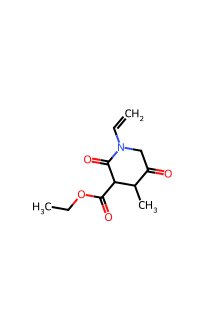 C=CN1CC(=O)C(C)C(C(=O)OCC)C1=O